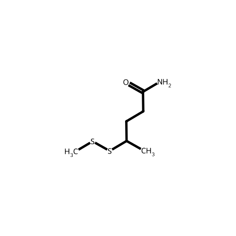 CSSC(C)CCC(N)=O